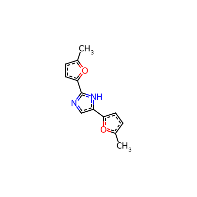 Cc1ccc(-c2cnc(-c3ccc(C)o3)[nH]2)o1